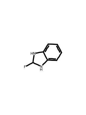 FC1Nc2ccccc2N1